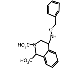 O=C(O)C1c2ccccc2C(NOCc2ccccc2)CN1C(=O)O